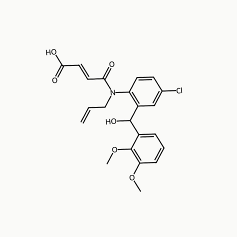 C=CCN(C(=O)C=CC(=O)O)c1ccc(Cl)cc1C(O)c1cccc(OC)c1OC